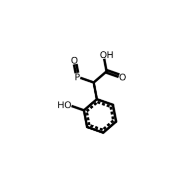 O=PC(C(=O)O)c1ccccc1O